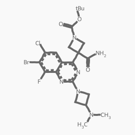 CN(C)C1CN(c2nc(C3(C(N)=O)CN(C(=O)OC(C)(C)C)C3)c3cc(Cl)c(Br)c(F)c3n2)C1